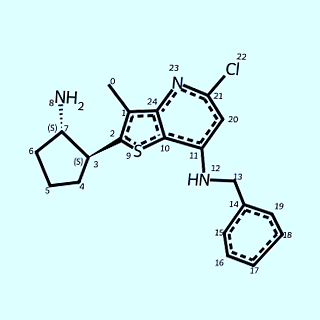 Cc1c([C@H]2CCC[C@@H]2N)sc2c(NCc3ccccc3)cc(Cl)nc12